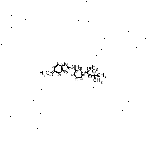 COc1ccc2nc(NC3CCCN(C(=O)OC(C)(C)C)C3)sc2c1